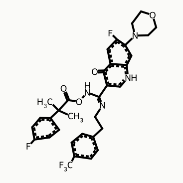 CC(C)(C(=O)ONC(=NCCc1ccc(C(F)(F)F)cc1)c1c[nH]c2cc(N3CCOCC3)c(F)cc2c1=O)c1ccc(F)cc1